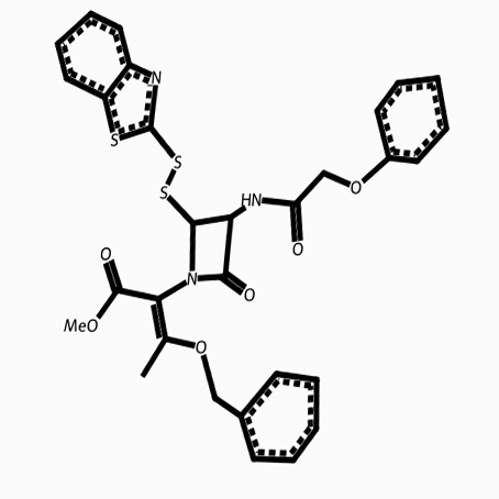 COC(=O)/C(=C(\C)OCc1ccccc1)N1C(=O)C(NC(=O)COc2ccccc2)C1SSc1nc2ccccc2s1